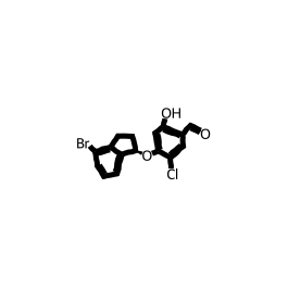 O=Cc1cc(Cl)c(O[C@@H]2CCc3c(Br)cccc32)cc1O